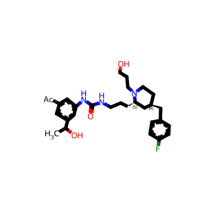 CC(=O)c1cc(NC(=O)NCCC[C@H]2C[C@H](Cc3ccc(F)cc3)CCN2CCCO)cc(C(C)O)c1